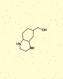 OCC1CCC2NCCNC2C1